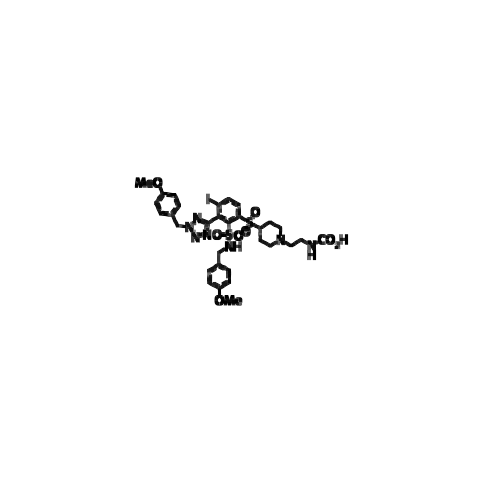 COc1ccc(CNS(=O)(=O)c2c(S(=O)(=O)C3CCN(CCNC(=O)O)CC3)ccc(I)c2-c2nnn(Cc3ccc(OC)cc3)n2)cc1